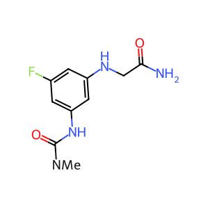 CNC(=O)Nc1cc(F)cc(NCC(N)=O)c1